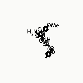 COc1ccc(-n2nc(C(=O)Nc3nc(COS(=O)(=O)c4ccc(C)cc4)cs3)c3csc(N)c3c2=O)cc1